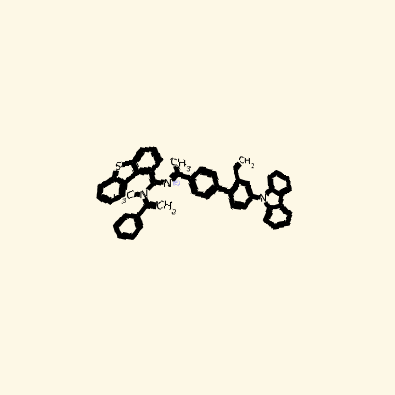 C=Cc1cc(-n2c3ccccc3c3ccccc32)ccc1-c1ccc(/C(C)=N/C(c2cccc3sc4ccccc4c23)N(C)C(=C)c2ccccc2)cc1